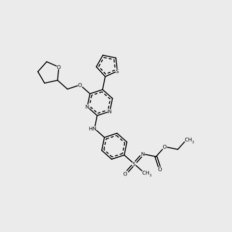 CCOC(=O)N=S(C)(=O)c1ccc(Nc2ncc(-c3cccs3)c(OCC3CCCO3)n2)cc1